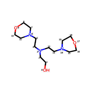 OCCN(CCN1CCOCC1)CCN1CCOCC1